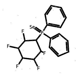 FC1C(F)C(F)C(P(=[Se])(c2ccccc2)c2ccccc2)C(F)C1F